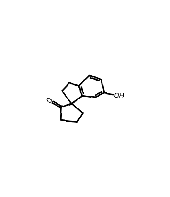 O=C1CCCC12CCc1ccc(O)cc12